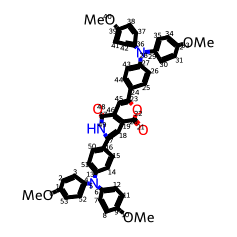 COc1ccc(N(c2ccc(OC)cc2)c2ccc(-c3cc4c(=O)oc(-c5ccc(N(c6ccc(OC)cc6)c6ccc(OC)cc6)cc5)cc4c(=O)[nH]3)cc2)cc1